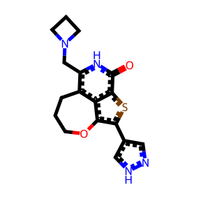 O=c1[nH]c(CN2CCC2)c2c3c(c(-c4cn[nH]c4)sc13)OCCC2